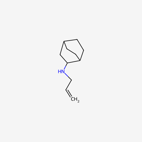 C=CCNC1CC2CCC1CC2